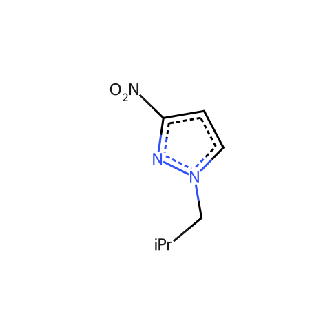 CC(C)Cn1ccc([N+](=O)[O-])n1